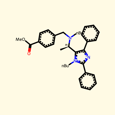 CCCCN(Cc1ccc(C(=O)OC)cc1)[C@H](C)c1c(-c2ccccc2)nc(-c2ccccc2)n1CCCC